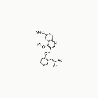 COc1ccc2ncc(COc3ccccc3C=C(C(C)=O)C(C)=O)c(OC(C)C)c2c1